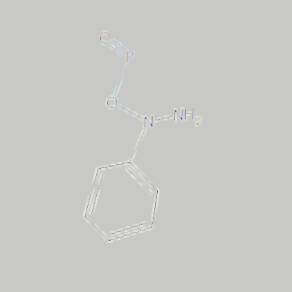 NN(OP=O)c1ccccc1